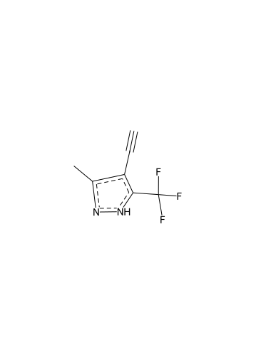 C#Cc1c(C)n[nH]c1C(F)(F)F